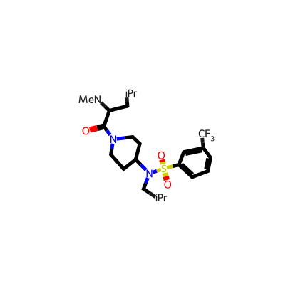 CNC(CC(C)C)C(=O)N1CCC(N(CC(C)C)S(=O)(=O)c2cccc(C(F)(F)F)c2)CC1